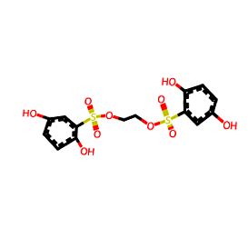 O=S(=O)(OCCOS(=O)(=O)c1cc(O)ccc1O)c1cc(O)ccc1O